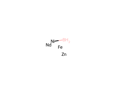 [BH2][Ni].[Fe].[Nd].[Zn]